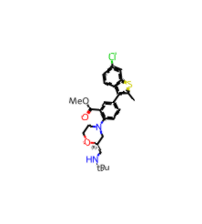 COC(=O)c1cc(-c2c(C)sc3cc(Cl)ccc23)ccc1N1CCO[C@H](CNC(C)(C)C)C1